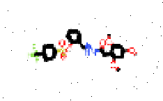 COc1cc(OC)c(CC(=O)NN=Cc2ccccc2OS(=O)(=O)c2ccc(C(F)(F)F)cc2)c(OC)c1